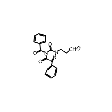 O=CCCn1nc(-c2ccccc2)c(=O)n(C(=O)c2ccccc2)c1=O